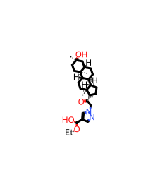 CCOC(O)c1cnn(CC(=O)[C@H]2CC[C@H]3[C@@H]4CC[C@@H]5C[C@](C)(O)CC[C@]5(C)[C@H]4CC[C@]23C)c1